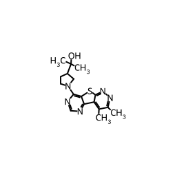 Cc1nnc2sc3c(N4CCC(C(C)(C)O)C4)ncnc3c2c1C